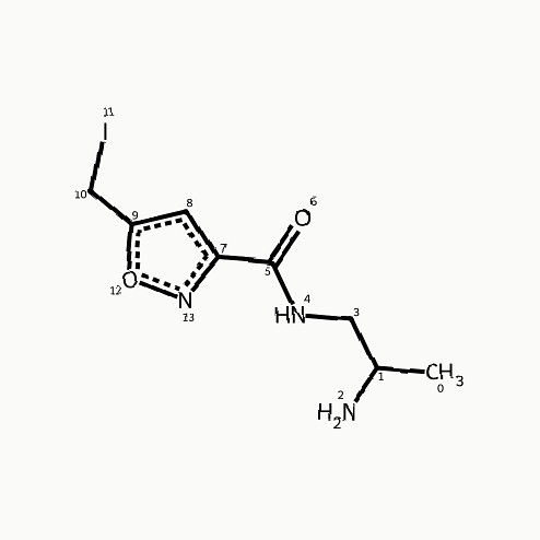 CC(N)CNC(=O)c1cc(CI)on1